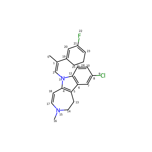 C/C(=C/n1c2c(c3cc(Cl)ccc31)CCN(C)C=C2)C1=CC(F)=CCC1